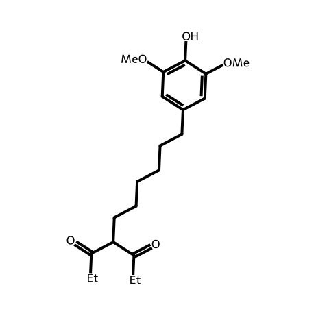 CCC(=O)C(CCCCCCc1cc(OC)c(O)c(OC)c1)C(=O)CC